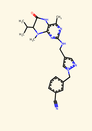 Cc1nc(NCc2cnn(Cc3cccc(C#N)c3)c2)nc2c1NC(=O)C(C(C)C)N2C